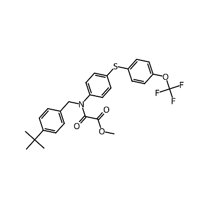 COC(=O)C(=O)N(Cc1ccc(C(C)(C)C)cc1)c1ccc(Sc2ccc(OC(F)(F)F)cc2)cc1